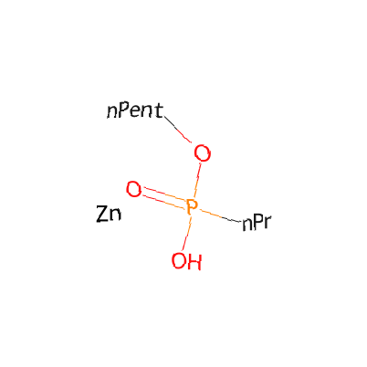 CCCCCOP(=O)(O)CCC.[Zn]